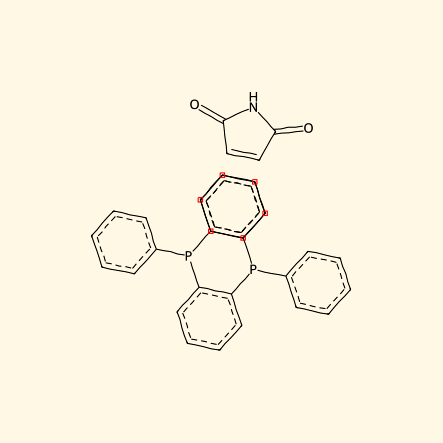 O=C1C=CC(=O)N1.c1ccc(P(c2ccccc2)c2ccccc2P(c2ccccc2)c2ccccc2)cc1